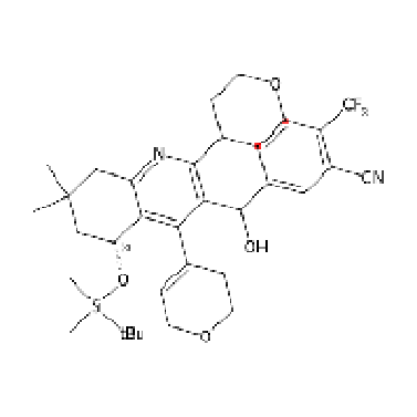 CC1(C)Cc2nc(C3CCOCC3)c(C(O)c3ccc(C(F)(F)F)c(C#N)c3)c(C3=CCOCC3)c2[C@H](O[Si](C)(C)C(C)(C)C)C1